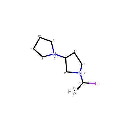 C[C@H](I)N1CCC(N2CCCC2)C1